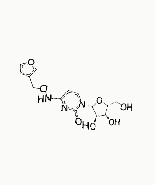 O=c1nc(NOCc2ccoc2)ccn1[C@@H]1O[C@H](CO)[C@@H](O)[C@H]1O